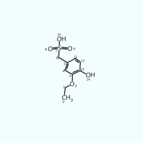 CCOc1cc([CH]S(=O)(=O)O)ccc1O